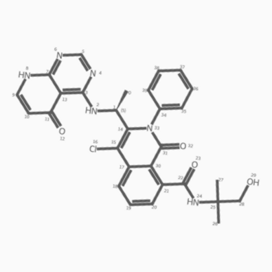 C[C@H](Nc1ncnc2[nH]ccc(=O)c12)c1c(Cl)c2cccc(C(=O)NC(C)(C)CO)c2c(=O)n1-c1ccccc1